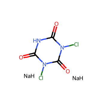 O=c1[nH]c(=O)n(Cl)c(=O)n1Cl.[NaH].[NaH]